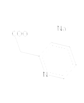 O=C([O-])Cc1ccccn1.[Na+]